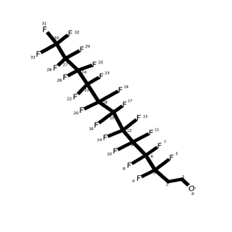 [O]CCC(F)(F)C(F)(F)C(F)(F)C(F)(F)C(F)(F)C(F)(F)C(F)(F)C(F)(F)C(F)(F)C(F)(F)F